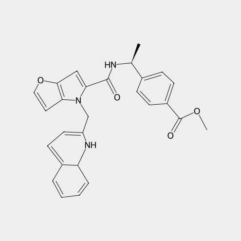 COC(=O)c1ccc([C@H](C)NC(=O)c2cc3occc3n2CC2=CC=C3C=CC=CC3N2)cc1